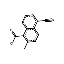 Cc1ccc2c(C#N)cccc2c1C(=O)Cl